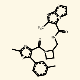 Cc1cccc(-c2sc(C)nc2C(=O)N2CCC2CNC(=O)c2c(C(F)(F)F)nc3sccn23)c1